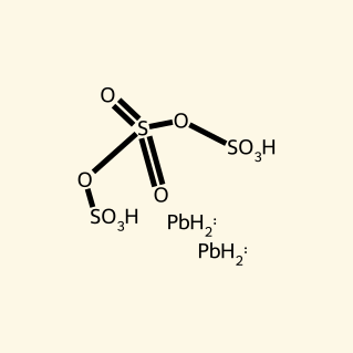 O=S(=O)(O)OS(=O)(=O)OS(=O)(=O)O.[PbH2].[PbH2]